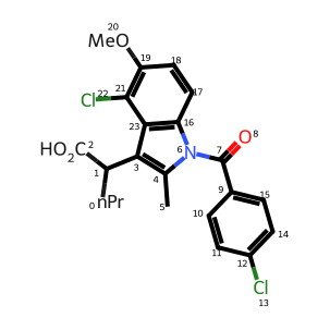 CCCC(C(=O)O)c1c(C)n(C(=O)c2ccc(Cl)cc2)c2ccc(OC)c(Cl)c12